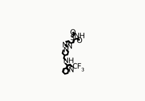 O=C1NC(=O)/C(=C/c2ccnc(N3CCC(CNCc4cc(C(F)(F)F)nc5c4C=CCC5)CC3)n2)S1